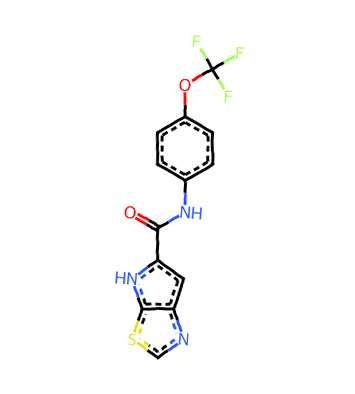 O=C(Nc1ccc(OC(F)(F)F)cc1)c1cc2ncsc2[nH]1